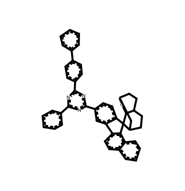 c1ccc(-c2ccc(-c3nc(-c4ccccc4)nc(-c4ccc5c(c4)-c4ccc6ccccc6c4C54C5CCC6CCC(C5)CC64)n3)cc2)cc1